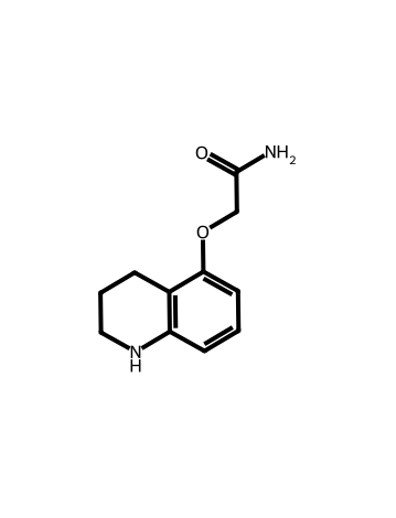 NC(=O)COc1cccc2c1CCCN2